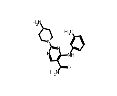 Cc1cccc(Nc2nc(N3CCC(N)CC3)ncc2C(N)=O)c1